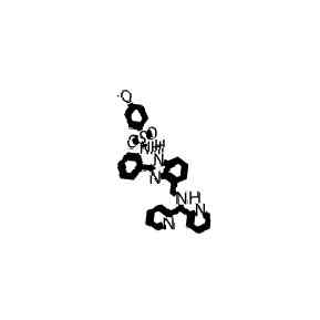 [O]c1ccc(S(=O)(=O)Nc2ccccc2-c2nc3c(CNC(c4ccccn4)c4ccccn4)cccc3[nH]2)cc1